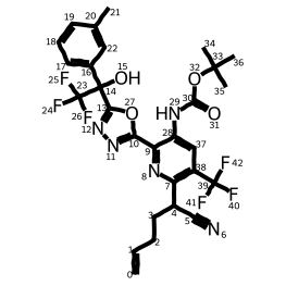 C=CCCC(C#N)c1nc(-c2nnc(C(O)(c3cccc(C)c3)C(F)(F)F)o2)c(NC(=O)OC(C)(C)C)cc1C(F)(F)F